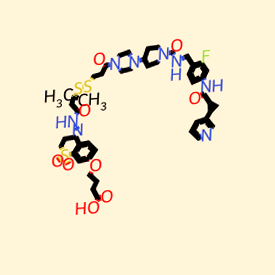 CC(C)(CC(=O)N/N=C1\CCS(=O)(=O)c2cc(OCCCC(=O)O)ccc21)SSCCC(=O)N1CCN(C2CCN(C(=O)NCc3ccc(NC(=O)C4CC4c4cccnc4)cc3F)CC2)CC1